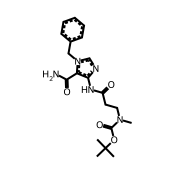 CN(CCC(=O)Nc1ncn(Cc2ccccc2)c1C(N)=O)C(=O)OC(C)(C)C